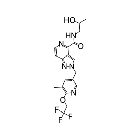 Cc1cc(Cn2cc3c(C(=O)NCC(C)O)nccc3n2)cnc1OCC(F)(F)F